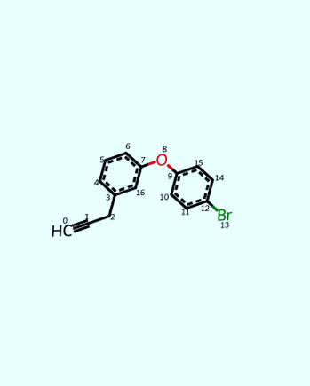 C#CCc1cccc(Oc2ccc(Br)cc2)c1